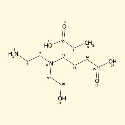 CCC(=O)O.NCCN(CCO)CCCC(=O)O